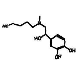 CN(CCCCC#N)CC(O)c1ccc(O)c(O)c1